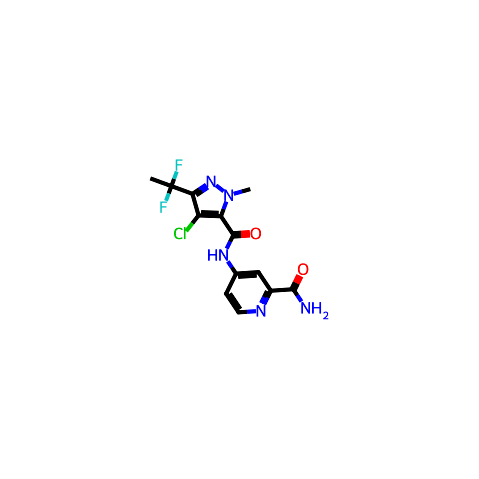 Cn1nc(C(C)(F)F)c(Cl)c1C(=O)Nc1ccnc(C(N)=O)c1